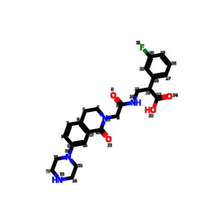 O=C(CN1CCc2ccc(N3CCNCC3)cc2C1=O)NCC(C(=O)O)c1cccc(F)c1